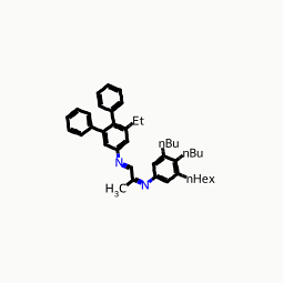 CCCCCCc1cc(N=C(C)C=Nc2cc(CC)c(-c3ccccc3)c(-c3ccccc3)c2)cc(CCCC)c1CCCC